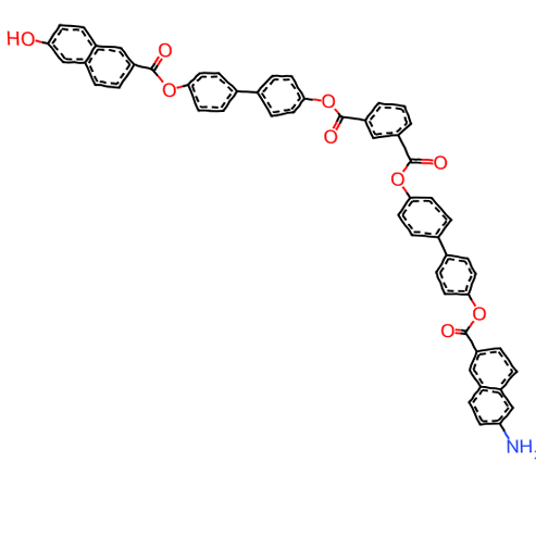 Nc1ccc2cc(C(=O)Oc3ccc(-c4ccc(OC(=O)c5cccc(C(=O)Oc6ccc(-c7ccc(OC(=O)c8ccc9cc(O)ccc9c8)cc7)cc6)c5)cc4)cc3)ccc2c1